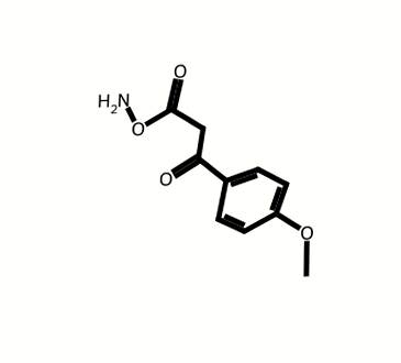 COc1ccc(C(=O)CC(=O)ON)cc1